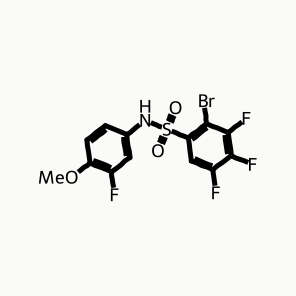 COc1ccc(NS(=O)(=O)c2cc(F)c(F)c(F)c2Br)cc1F